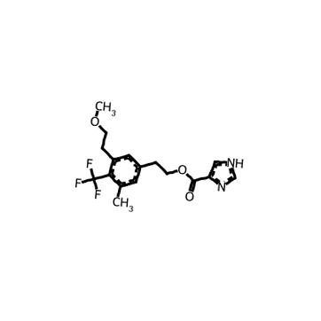 COCCc1cc(CCOC(=O)c2c[nH]cn2)cc(C)c1C(F)(F)F